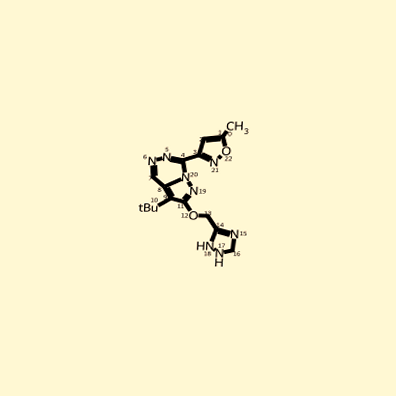 Cc1cc(-c2nncc3c(C(C)(C)C)c(OCC4=NCNN4)nn23)no1